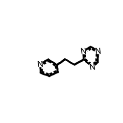 c1cncc(CCc2ncncn2)c1